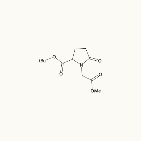 COC(=O)CN1C(=O)CCC1C(=O)OC(C)(C)C